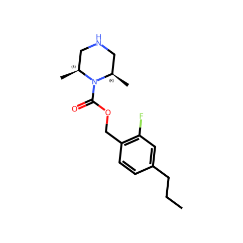 CCCc1ccc(COC(=O)N2[C@H](C)CNC[C@@H]2C)c(F)c1